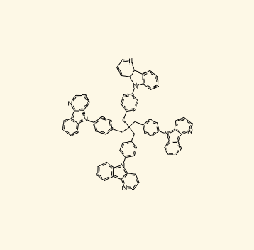 C1=CC2C(N=C1)c1ccccc1N2c1ccc(CC(Cc2ccc(-n3c4ccccc4c4ncccc43)cc2)(Cc2ccc(-n3c4ccccc4c4ncccc43)cc2)Cc2ccc(-n3c4ccccc4c4ncccc43)cc2)cc1